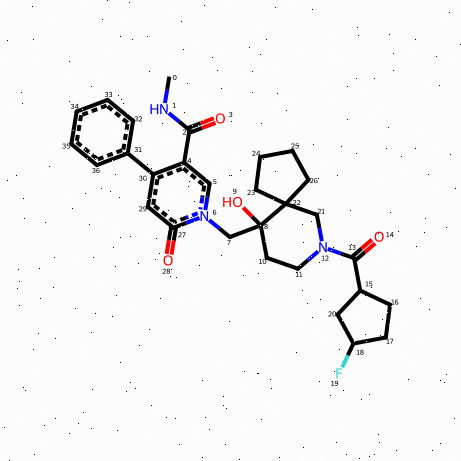 CNC(=O)c1cn(CC2(O)CCN(C(=O)C3CCC(F)C3)CC23CCCC3)c(=O)cc1-c1ccccc1